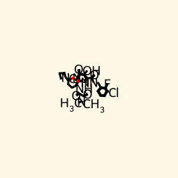 CN(C)C(=O)C(=O)NC12CCC(N3CCC3)(CC1)Cn1c2nc(C(=O)NCc2cccc(Cl)c2F)c(O)c1=O